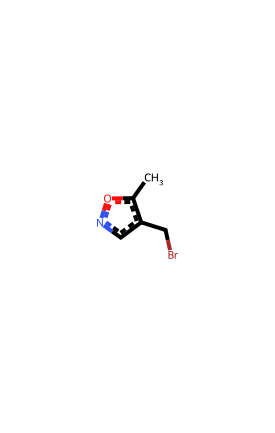 Cc1oncc1CBr